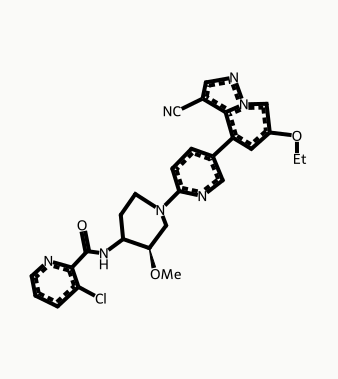 CCOc1cc(-c2ccc(N3CCC(NC(=O)c4ncccc4Cl)[C@H](OC)C3)nc2)c2c(C#N)cnn2c1